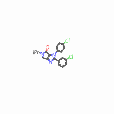 CC(C)N1Cc2nc(-c3cccc(Cl)c3)n(-c3ccc(Cl)cc3)c2C1=O